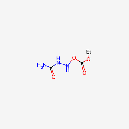 CCOC(=O)ONNC(N)=O